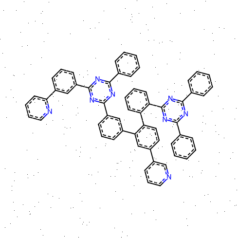 c1ccc(-c2nc(-c3cccc(-c4ccccn4)c3)nc(-c3cccc(-c4cc(-c5cccnc5)ccc4-c4ccccc4-c4nc(-c5ccccc5)nc(-c5ccccc5)n4)c3)n2)cc1